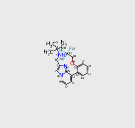 CC(C)(C)NCc1cn2cccc(-c3ccccc3OCC(F)(F)F)c2n1